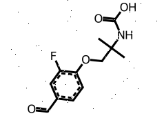 CC(C)(COc1ccc(C=O)cc1F)NC(=O)O